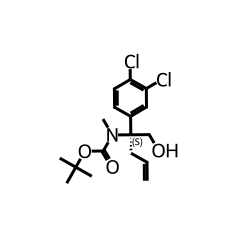 C=CC[C@@](CO)(c1ccc(Cl)c(Cl)c1)N(C)C(=O)OC(C)(C)C